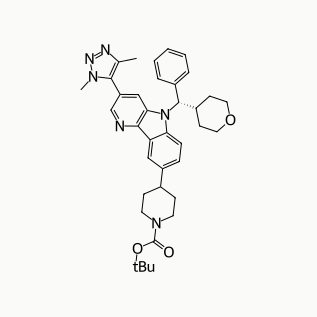 Cc1nnn(C)c1-c1cnc2c3cc(C4CCN(C(=O)OC(C)(C)C)CC4)ccc3n([C@H](c3ccccc3)C3CCOCC3)c2c1